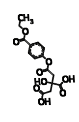 CCOC(=O)c1ccc(OC(=O)CC(O)(CC(=O)O)C(=O)O)cc1